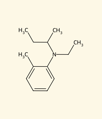 CCC(C)N(CC)c1ccccc1C